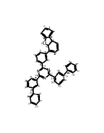 C1=CC2c3ccccc3OC2C(c2cccc(-c3nc(-c4cccc(-c5ccccc5)c4)nc(-c4cccc(-c5ccccc5)c4)n3)c2)=C1